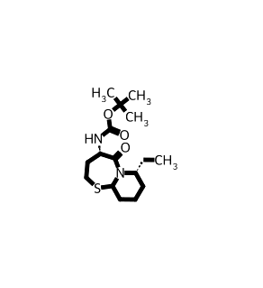 CC[C@@H]1CCCC2SCC[C@H](NC(=O)OC(C)(C)C)C(=O)N21